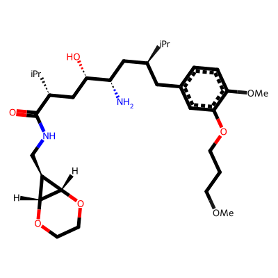 COCCCOc1cc(C[C@@H](C[C@H](N)[C@@H](O)C[C@H](C(=O)NC[C@@H]2[C@H]3OCCO[C@@H]23)C(C)C)C(C)C)ccc1OC